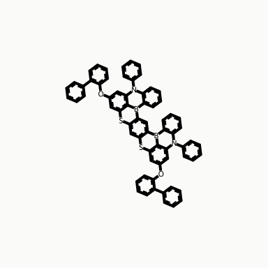 c1ccc(-c2ccccc2Oc2cc3c4c(c2)N(c2ccccc2)c2ccccc2B4c2cc4c(cc2S3)Sc2cc(Oc3ccccc3-c3ccccc3)cc3c2B4c2ccccc2N3c2ccccc2)cc1